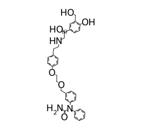 NC(=O)N(c1ccccc1)c1cccc(COCCOc2ccc(CCNC[C@@H](O)c3ccc(O)c(CO)c3)cc2)c1